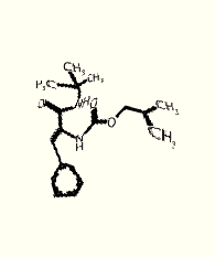 CC(C)COC(=O)NC(Cc1ccccc1)C(=O)NC(C)(C)C